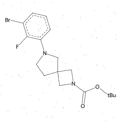 CC(C)(C)OC(=O)N1CC2(CCN(c3cccc(Br)c3F)C2)C1